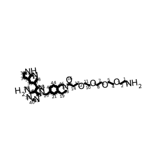 NCCOCCOCCOCCOCCC(=O)N1CCc2cc(Cn3nc(-c4cnc5[nH]ccc5c4)c4c(N)ncnc43)ccc2C1